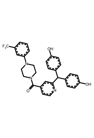 O=C(c1ccnc(C(c2ccc(O)cc2)c2ccc(O)cc2)c1)N1CCN(c2cccc(C(F)(F)F)c2)CC1